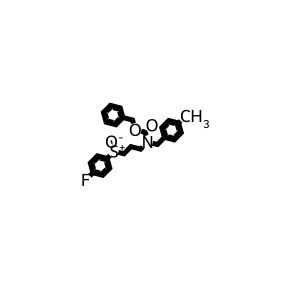 Cc1ccc(CN(CCC[S@@+]([O-])c2ccc(F)cc2)C(=O)OCc2ccccc2)cc1